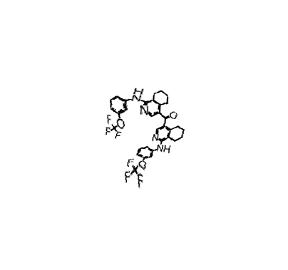 O=C(c1cnc(Nc2cccc(OC(F)(F)F)c2)c2c1CCCC2)c1cnc(Nc2cccc(OC(F)(F)F)c2)c2c1CCCC2